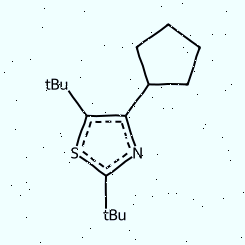 CC(C)(C)c1nc(C2CCCC2)c(C(C)(C)C)s1